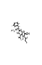 CC[C@H](C)[C@H](NC(=O)[C@@H](NC(=O)[C@@H](N)Cc1ccccc1)C(C)C)C(=O)O